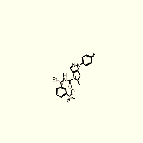 CC[C@H](NC(=O)N1c2cnn(-c3ccc(F)cc3)c2CC1C)c1cccc(S(C)(=O)=O)c1